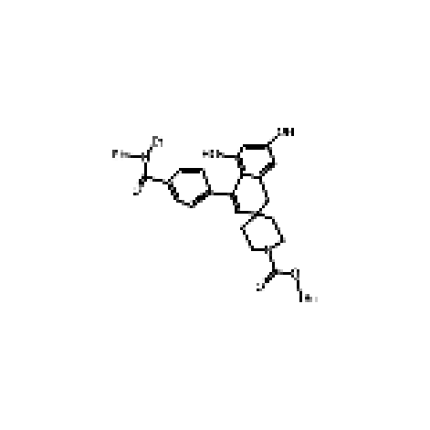 CCN(CC)C(=O)c1ccc(C2=CC3(CCN(C(=O)OC(C)(C)C)CC3)Cc3cc(O)cc(O)c32)cc1